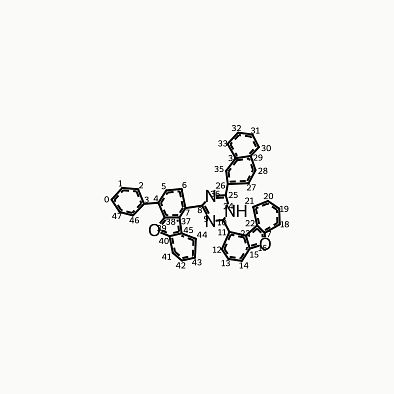 c1ccc(-c2ccc(C3=NC(c4cccc5oc6ccccc6c45)NC(c4ccc5ccccc5c4)=N3)c3c2oc2ccccc23)cc1